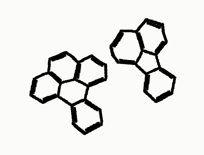 c1ccc2c(c1)-c1cccc3cccc-2c13.c1ccc2c(c1)c1cccc3ccc4cccc2c4c31